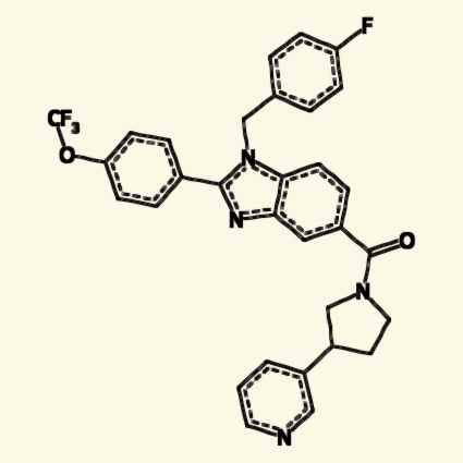 O=C(c1ccc2c(c1)nc(-c1ccc(OC(F)(F)F)cc1)n2Cc1ccc(F)cc1)N1CCC(c2cccnc2)C1